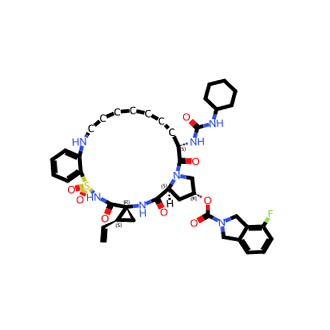 C=C[C@@H]1C[C@@]12NC(=O)[C@@H]1C[C@@H](OC(=O)N3Cc4cccc(F)c4C3)CN1C(=O)[C@@H](NC(=O)NC1CCCCC1)CCCCCCCNc1ccccc1S(=O)(=O)NC2=O